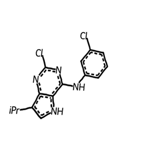 CC(C)c1c[nH]c2c(Nc3cccc(Cl)c3)nc(Cl)nc12